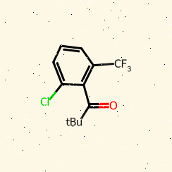 CC(C)(C)C(=O)c1c(Cl)cccc1C(F)(F)F